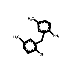 Cc1ccc(N)c(Cc2cc(C)ccc2O)c1